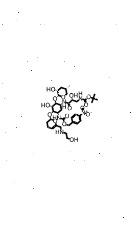 C[C@@H]1CO[C@H](O[C@@H]2[C@@H](O)[C@H](O[C@@H]3CCC=C(CNCCO)O3)[C@@H](NC(=O)OCc3ccc([N+](=O)[O-])cc3)C[C@H]2NC(=O)[C@H](O)CNC(=O)OC(C)(C)C)[C@H](O)C1